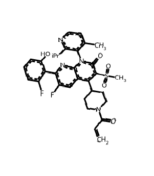 C=CC(=O)N1CCC(c2c(S(C)(=O)=O)c(=O)n(-c3c(C)ccnc3C(C)C)c3nc(-c4c(O)cccc4F)c(F)cc23)CC1